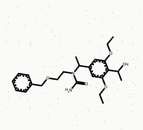 CCOc1cc(C(C)N(CCOCc2ccccc2)C(N)=O)cc(OCC)c1C(C)O